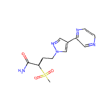 CS(=O)(=O)C(CCn1cc(-c2cnccn2)cn1)C(N)=O